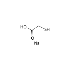 O=C(O)CS.[Na]